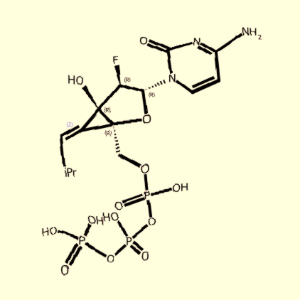 CC(C)/C=C1\[C@]2(COP(=O)(O)OP(=O)(O)OP(=O)(O)O)O[C@@H](n3ccc(N)nc3=O)[C@H](F)[C@@]12O